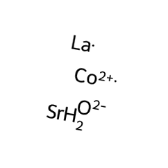 [Co+2].[La].[O-2].[SrH2]